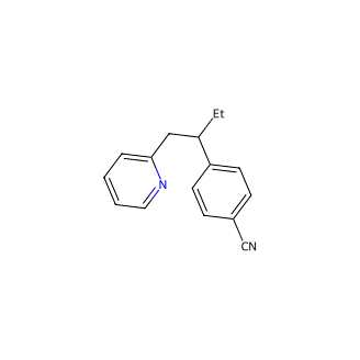 CCC(Cc1ccccn1)c1ccc(C#N)cc1